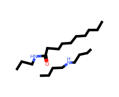 CCCCCCCCCC(=O)NCCC.CCCCNCCCC